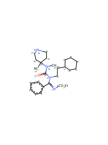 CCOC(=O)N=C(c1ccccc1)N(CCC1CCCCC1)C(=O)N(C)C1(C#N)CCNCC1